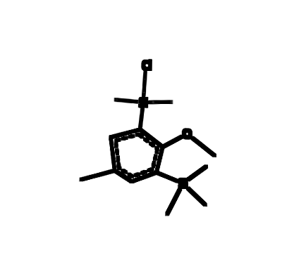 COc1c([Si](C)(C)C)cc(C)cc1[Si](C)(C)Cl